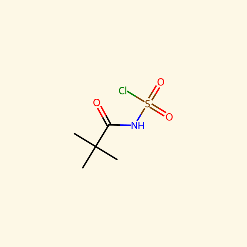 CC(C)(C)C(=O)NS(=O)(=O)Cl